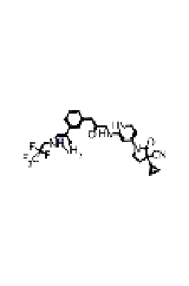 N#CC1(C2CC2)CCN(C2=CCNC(NCC(=O)Cc3cccc(/C(=C/NCC(F)(F)C(F)(F)F)CN)c3)=C2)C1=O